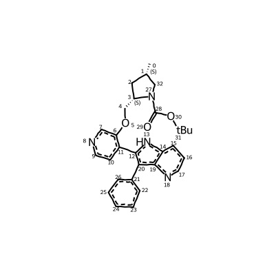 C[C@H]1C[C@@H](COc2cnccc2-c2[nH]c3cccnc3c2-c2ccccc2)N(C(=O)OC(C)(C)C)C1